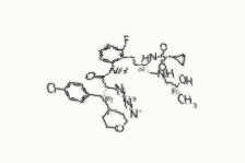 C[C@@H](O)CNC[C@H](CCc1c(F)cccc1NC(=O)C(N=[N+]=[N-])[C@@H](c1ccc(Cl)cc1)C1CCOCC1)NS(=O)(=O)C1CC1